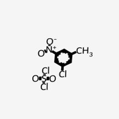 Cc1cc(Cl)cc([N+](=O)[O-])c1.O=S(=O)(Cl)Cl